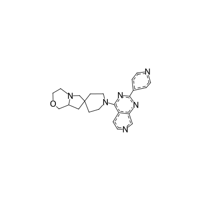 c1cc(-c2nc(N3CCC4(CC3)CC3COCCN3C4)c3ccncc3n2)ccn1